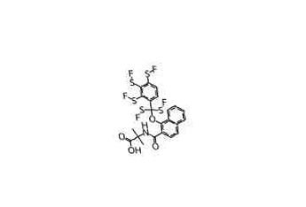 CC(C)(NC(=O)c1ccc2ccccc2c1OC(SF)(SF)c1ccc(SF)c(SF)c1SF)C(=O)O